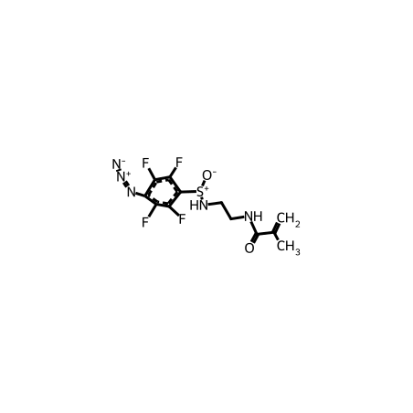 C=C(C)C(=O)NCCN[S+]([O-])c1c(F)c(F)c(N=[N+]=[N-])c(F)c1F